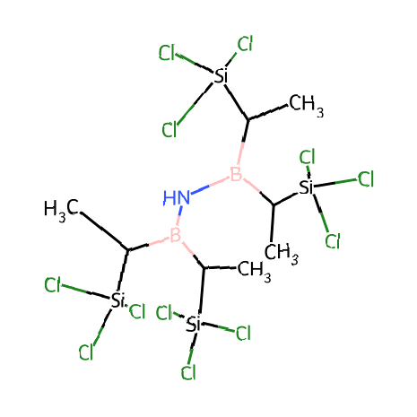 CC(B(NB(C(C)[Si](Cl)(Cl)Cl)C(C)[Si](Cl)(Cl)Cl)C(C)[Si](Cl)(Cl)Cl)[Si](Cl)(Cl)Cl